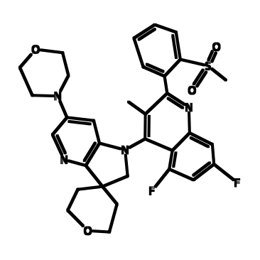 Cc1c(-c2ccccc2S(C)(=O)=O)nc2cc(F)cc(F)c2c1N1CC2(CCOCC2)c2ncc(N3CCOCC3)cc21